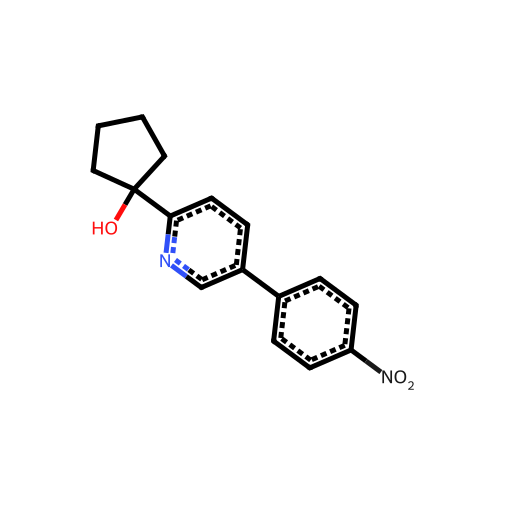 O=[N+]([O-])c1ccc(-c2ccc(C3(O)CCCC3)nc2)cc1